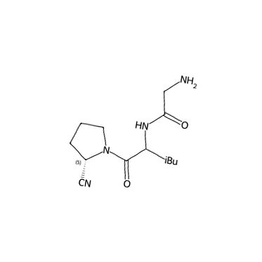 CCC(C)C(NC(=O)CN)C(=O)N1CCC[C@H]1C#N